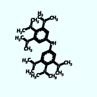 CN(C)c1cc(Pc2cc(N(C)C)c(N(C)C)c(N(C)C)c2)cc(N(C)C)c1N(C)C